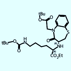 CCOC(=O)[C@@H](CCCCNC(=O)OC(C)(C)C)N[C@H]1CSc2ccccc2N(CC(=O)OC(C)(C)C)C1=O